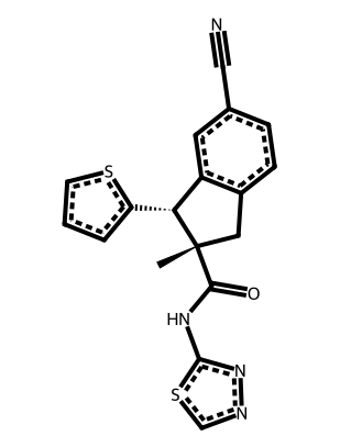 C[C@]1(C(=O)Nc2nncs2)Cc2ccc(C#N)cc2[C@H]1c1cccs1